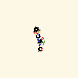 Cc1cccc(C)c1S(=O)(=O)N1CCC(n2ncc(NC[C@@H]3CCCOC3)c(Cl)c2=O)CC1